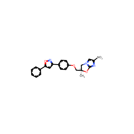 C[C@]1(COc2ccc(-c3cc(-c4ccccc4)on3)cc2)Cn2cc([N+](=O)[O-])nc2O1